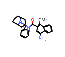 COc1c(C(=O)NC2CC3CCCC(C2)N3Cc2ccccc2)cc(N)c2ccccc12